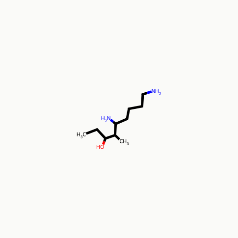 CCC(O)C(C)C(N)CCCCN